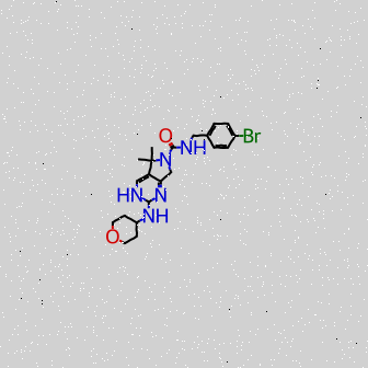 CC1(C)C2=CNC(NC3CCOCC3)N=C2CN1C(=O)NCc1ccc(Br)cc1